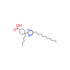 CCCCCCCCCCc1cnc(C2(CCCCC)CCC(C(=O)O)CC2)nc1